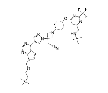 CC(C)(C)NCc1cc(OC2CCC(N3CC(CC#N)(n4cc(-c5ncnc6c5ccn6COCC[Si](C)(C)C)cn4)C3)CC2)nc(C(F)(F)F)n1